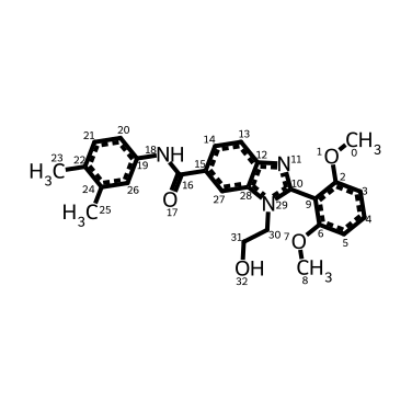 COc1cccc(OC)c1-c1nc2ccc(C(=O)Nc3ccc(C)c(C)c3)cc2n1CCO